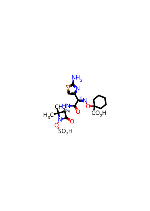 CC1(C)[C@H](NC(=O)/C(=N\OC2(C(=O)O)CCCCC2)c2csc(N)n2)C(=O)N1OS(=O)(=O)O